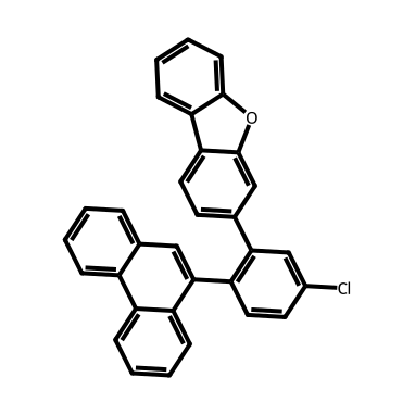 Clc1ccc(-c2cc3ccccc3c3ccccc23)c(-c2ccc3c(c2)oc2ccccc23)c1